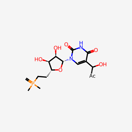 C=P(C)(C)CC[C@H]1O[C@@H](n2cc(C(O)C(C)=O)c(=O)[nH]c2=O)[C@H](O)[C@@H]1O